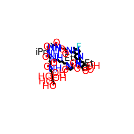 CCc1c2c(nc3cc(F)c(C)c(CNC(=O)COCNC(=O)[C@H](C)NC(=O)[C@@H](NC(=O)[C@H](CCC(=O)NC[C@H](O)[C@@H](O)[C@H](O)[C@H](O)CO)NC(=O)CCCCCN4C(=O)C=CC4=O)C(C)C)c13)-c1cc3c(c(=O)n1C2)COC(=O)[C@]3(O)CC